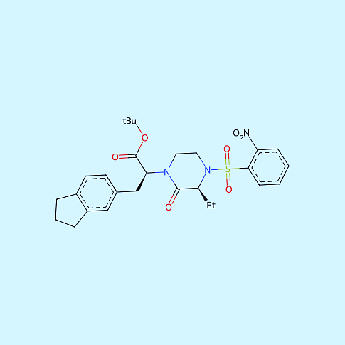 CC[C@H]1C(=O)N([C@@H](Cc2ccc3c(c2)CCC3)C(=O)OC(C)(C)C)CCN1S(=O)(=O)c1ccccc1[N+](=O)[O-]